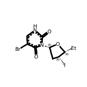 CC[C@H]1O[C@@H](n2c(=O)[nH]cc(Br)c2=O)C[C@H]1I